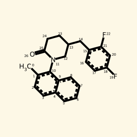 Cc1ccc2ccccc2c1N1CC(Cc2ccc(F)cc2F)CCC1=O